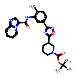 Cc1ccc(-c2noc(C3CCCN(C(=O)OC(C)(C)C)C3)n2)cc1NC(=O)c1cnc2ccccn12